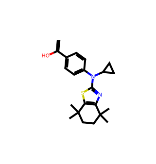 C=C(O)c1ccc(N(c2nc3c(s2)C(C)(C)CCC3(C)C)C2CC2)cc1